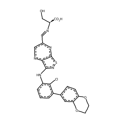 O=C(O)[C@H](CO)N=Cc1cnc2c(Nc3cccc(-c4ccc5c(c4)OCCO5)c3Cl)nsc2n1